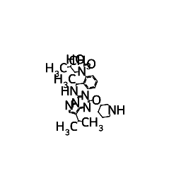 CC(C)CN(C(=O)O)c1ccccc1C(C)Nc1nc(O[C@@H]2CCCNC2)nc2c(C(C)C)cnn12